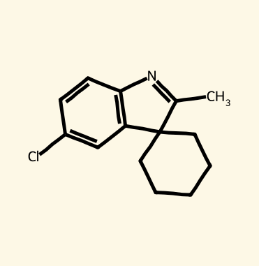 CC1=Nc2ccc(Cl)cc2C12CCCCC2